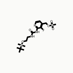 CC(C)(C)[Si](C)(C)OCCNC(=O)Nc1nccc(COS(C)(=O)=O)c1F